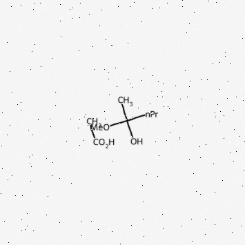 CC(=O)O.CCCC(C)(O)OC